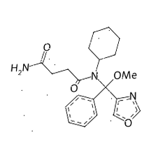 COC(c1ccccc1)(c1cocn1)N(C(=O)CCC(N)=O)C1CCCCC1